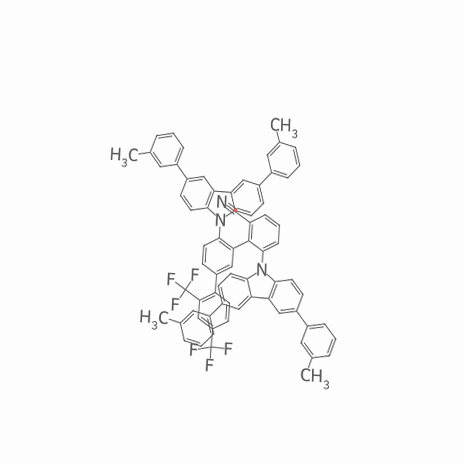 Cc1cccc(-c2ccc3c(c2)c2cc(-c4cccc(C)c4)ccc2n3-c2ccc(-c3ccc(C(F)(F)F)cc3C(F)(F)F)cc2-c2c(C#N)cccc2-n2c3ccc(-c4cccc(C)c4)cc3c3cc(-c4cccc(C)c4)ccc32)c1